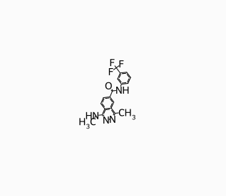 CNc1nnc(C)c2cc(C(=O)Nc3cccc(C(F)(F)F)c3)ccc12